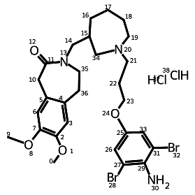 COc1cc2c(cc1OC)CC(=O)N(CC1CCCCN(CCCOc3cc(Br)c(N)c(Br)c3)C1)CC2.Cl.Cl